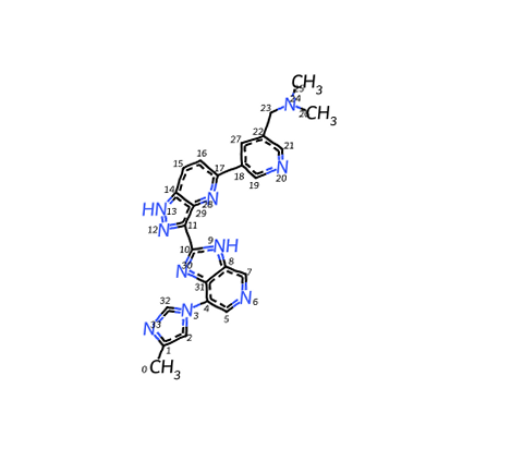 Cc1cn(-c2cncc3[nH]c(-c4n[nH]c5ccc(-c6cncc(CN(C)C)c6)nc45)nc23)cn1